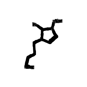 CCCCCCCCCCCCCN1C=CN(CCCCCCCCC)C1CC